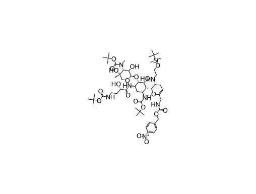 CN(C(=O)OC(C)(C)C)[C@@H]1[C@@H](O)[C@@H](O[C@H]2[C@H](NC(=O)[C@@H](O)CCNC(=O)OC(C)(C)C)C[C@H](NC(=O)OC(C)(C)C)C([C@H]3OC(CNC(=O)OCc4ccc([N+](=O)[O-])cc4)=CC[C@H]3NCCO[Si](C)(C)C(C)(C)C)[C@@H]2O)OC[C@]1(C)O